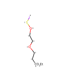 CCOC(=O)CCOCCOSI